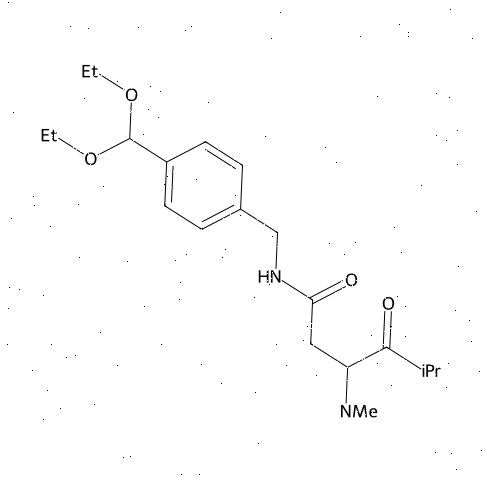 CCOC(OCC)c1ccc(CNC(=O)CC(NC)C(=O)C(C)C)cc1